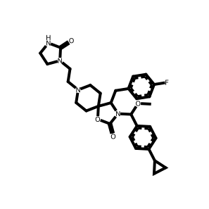 COC(c1ccc(C2CC2)cc1)N1C(=O)OC2(CCN(CCN3CCNC3=O)CC2)C1Cc1ccc(F)cc1